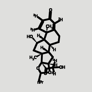 [2H]C1=C([2H])[C@@]2(C)C(=C([2H])C1=O)CC[C@@H]1[C@@H]2[C@@H](O)C[C@@]2(C)[C@H]1C[C@H]1OC(CCC)O[C@]12C(=O)C([2H])([2H])O